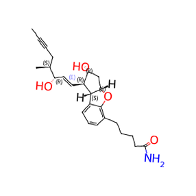 CC#CC[C@H](C)[C@@H](O)/C=C/[C@@H]1[C@H]2c3cccc(CCCCC(N)=O)c3O[C@H]2C[C@H]1O